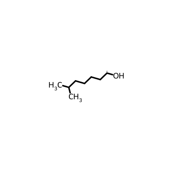 CC(C)CCCC[CH]O